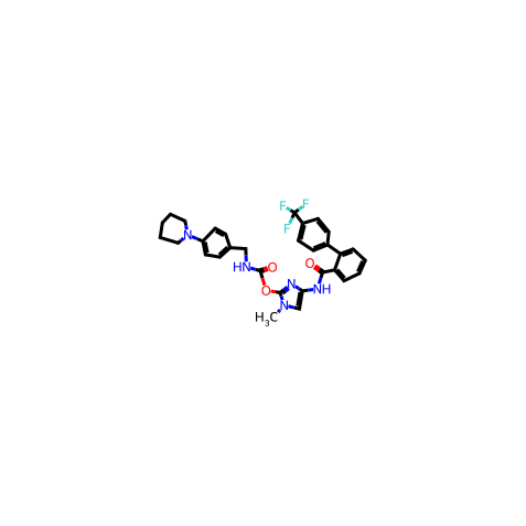 Cn1cc(NC(=O)c2ccccc2-c2ccc(C(F)(F)F)cc2)nc1OC(=O)NCc1ccc(N2CCCCC2)cc1